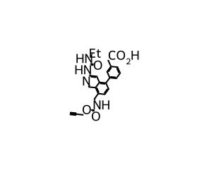 C#CCOC(=O)NCc1ccc(-c2cccc(CC(=O)O)c2)c2cc(NC(=O)NCC)ncc12